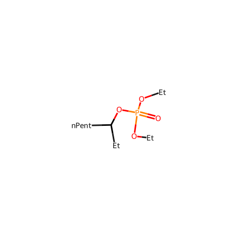 CCCCCC(CC)OP(=O)(OCC)OCC